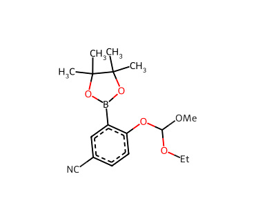 CCOC(OC)Oc1ccc(C#N)cc1B1OC(C)(C)C(C)(C)O1